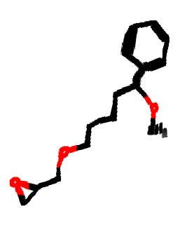 [SiH3]OC(CCCCOCC1CO1)c1ccccc1